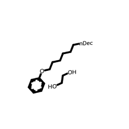 CCCCCCCCCCCCCCCCOc1ccccc1.OCCO